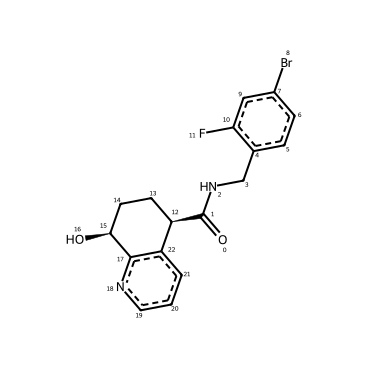 O=C(NCc1ccc(Br)cc1F)[C@@H]1CC[C@H](O)c2ncccc21